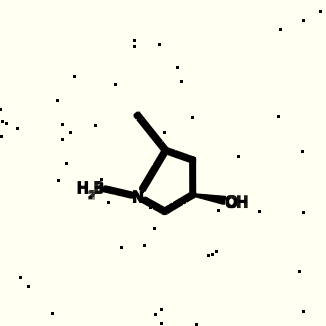 BN1C[C@H](O)CC1C